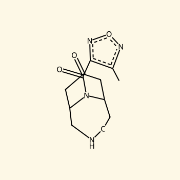 Cc1nonc1C(=O)N1C2CCNCC1CC(=O)C2